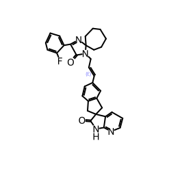 O=C1C(c2ccccc2F)=NC2(CCCCCC2)N1C/C=C/c1ccc2c(c1)CC1(C2)C(=O)Nc2ncccc21